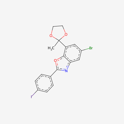 CC1(c2cc(Br)cc3nc(-c4ccc(I)cc4)oc23)OCCO1